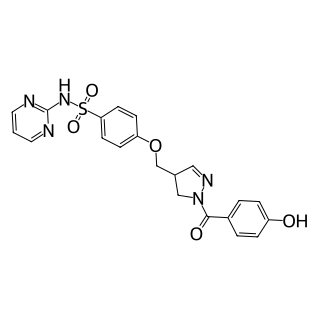 O=C(c1ccc(O)cc1)N1CC(COc2ccc(S(=O)(=O)Nc3ncccn3)cc2)C=N1